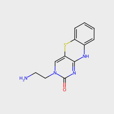 NCCn1cc2c(nc1=O)Nc1ccccc1S2